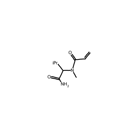 C=CC(=O)N(C)C(C(N)=O)C(C)C